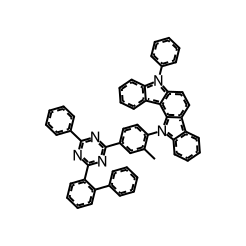 Cc1cc(-c2nc(-c3ccccc3)nc(-c3ccccc3-c3ccccc3)n2)ccc1-n1c2ccccc2c2ccc3c(c4ccccc4n3-c3ccccc3)c21